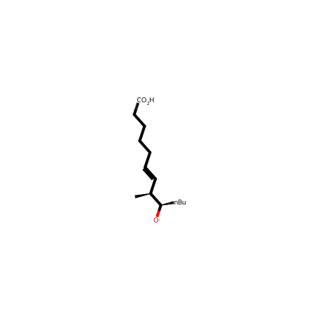 CCCC[C@@H]([O])[C@@H](C)C=CCCCCC(=O)O